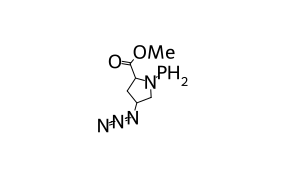 COC(=O)C1CC(N=[N+]=[N-])CN1P